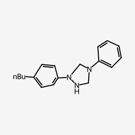 CCCCc1ccc(N2CN(c3ccccc3)CN2)cc1